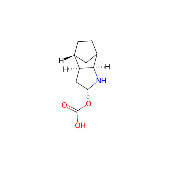 O=C(O)O[C@@H]1C[C@H]2[C@@H]3CCC(C3)[C@H]2N1